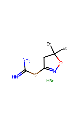 Br.CCC1(CC)CC(SC(=N)N)=NO1